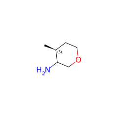 C[C@H]1CCOCC1N